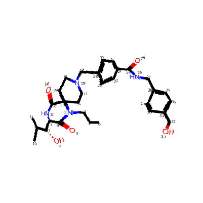 CCCN1C(=O)[C@@H]([C@H](O)C(C)C)NC(=O)C12CCN(Cc1ccc(C(=O)NCc3ccc(CO)cc3)cc1)CC2